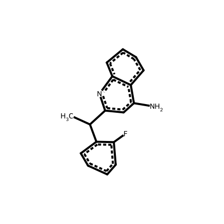 CC(c1cc(N)c2ccccc2n1)c1ccccc1F